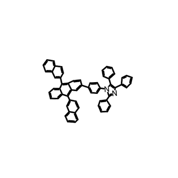 c1ccc(-c2nc(-c3ccccc3)n(-c3ccc(-c4ccc5c(-c6ccc7ccccc7c6)c6ccccc6c(-c6ccc7ccccc7c6)c5c4)cc3)c2-c2ccccc2)cc1